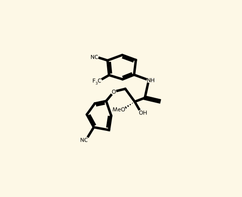 C=C(Nc1ccc(C#N)c(C(F)(F)F)c1)[C@@](O)(COc1ccc(C#N)cc1)OC